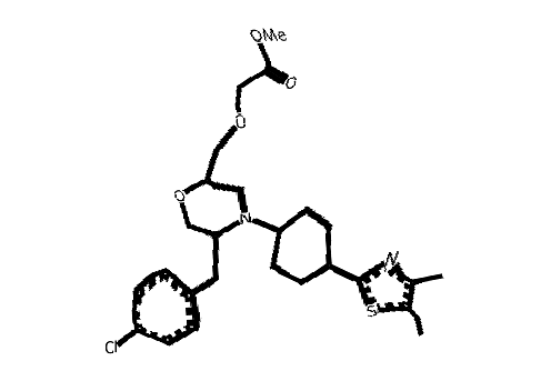 COC(=O)COCC1CN(C2CCC(c3nc(C)c(C)s3)CC2)C(Cc2ccc(Cl)cc2)CO1